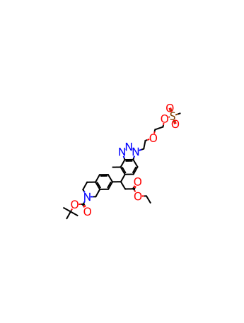 CCOC(=O)CC(c1ccc2c(c1)CN(C(=O)OC(C)(C)C)CC2)c1ccc2c(nnn2CCOCCOS(C)(=O)=O)c1C